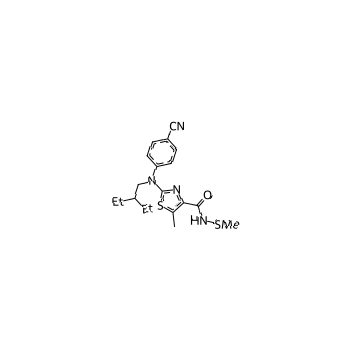 CCC(CC)CN(c1ccc(C#N)cc1)c1nc(C(=O)NSC)c(C)s1